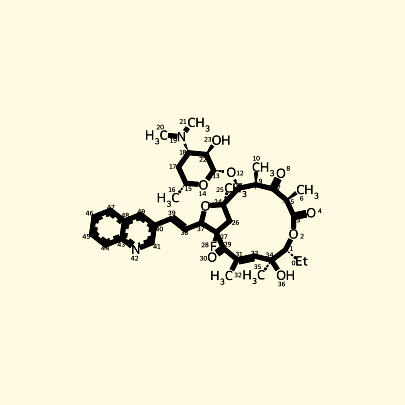 CC[C@H]1OC(=O)[C@H](C)C(=O)[C@H](C)[C@@H](O[C@@H]2O[C@H](C)C[C@H](N(C)C)[C@H]2O)[C@@]2(C)C[C@](F)(C(=O)/C(C)=C/[C@]1(C)O)C(/C=C/c1cnc3ccccc3c1)O2